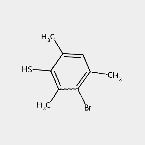 Cc1cc(C)c(Br)c(C)c1S